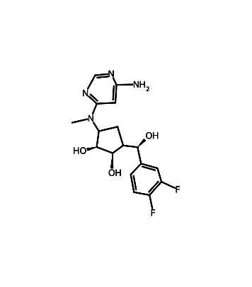 CN(c1cc(N)ncn1)C1CC([C@@H](O)c2ccc(F)c(F)c2)[C@@H](O)[C@H]1O